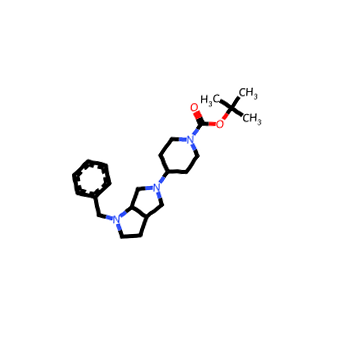 CC(C)(C)OC(=O)N1CCC(N2CC3CCN(Cc4ccccc4)C3C2)CC1